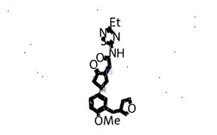 CCc1nsc(NC(=O)/C=C2/C[C@H](c3ccc(OC)c(CC4CCOC4)c3)CC2=O)n1